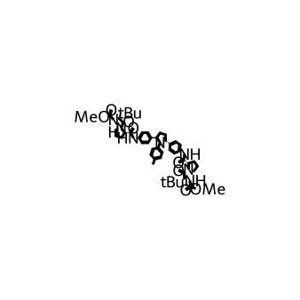 COC(=O)N[C@H](C(=O)N1CCC[C@H]1C(=O)Nc1ccc([C@H]2CC[C@H](c3ccc(NC(=O)[C@@H]4CCCN4C(=O)[C@@H](NC(=O)OC)C(C)(C)C)cc3)N2c2ccc(C)cc2)cc1)C(C)(C)C